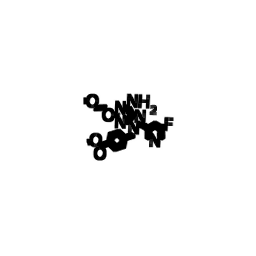 COCCOc1nc(N)c2nc(-c3cncc(F)c3)n(Cc3ccc(C(=O)OC)cc3)c2n1